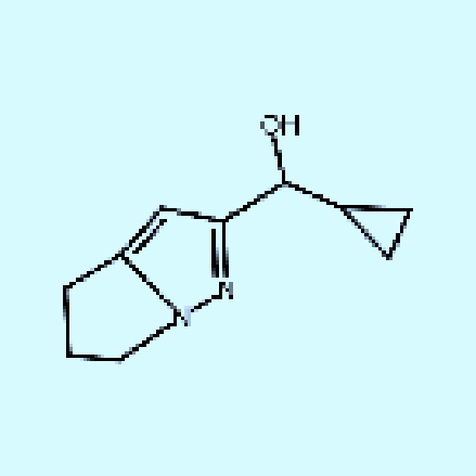 OC(c1cc2n(n1)CCC2)C1CC1